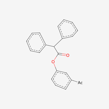 CC(=O)c1cccc(OC(=O)C(c2ccccc2)c2ccccc2)c1